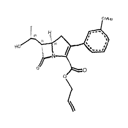 C=CCOC(=O)C1=C(c2cccc(OC)c2)C[C@@H]2[C@@H]([C@@H](C)O)C(=O)N12